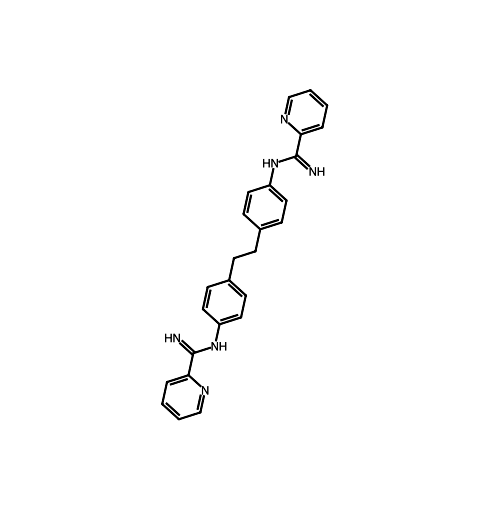 N=C(Nc1ccc(CCc2ccc(NC(=N)c3ccccn3)cc2)cc1)c1ccccn1